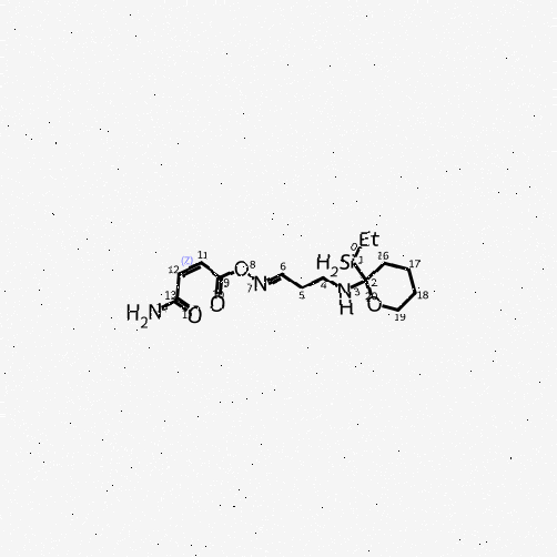 CC[SiH2]C1(NCCC=NOC(=O)/C=C\C(N)=O)CCCCO1